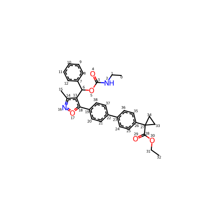 CCNC(=O)OC(c1ccccc1)c1c(C)noc1-c1ccc(-c2ccc(C3(C(=O)OCC)CC3)cc2)cc1